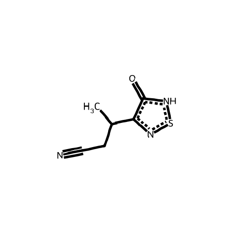 CC(CC#N)c1ns[nH]c1=O